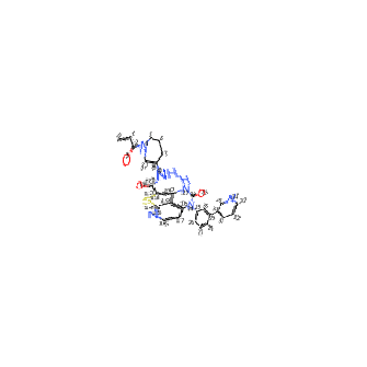 C=CC(=O)N1CCC[C@@H](NC(=O)c2sc3nccc4c3c2NC(=O)N4c2cccc(-c3cccnc3)c2)C1